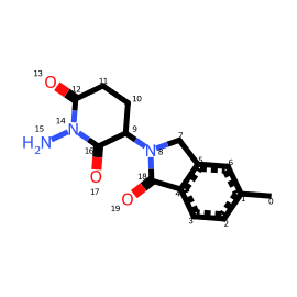 Cc1ccc2c(c1)CN(C1CCC(=O)N(N)C1=O)C2=O